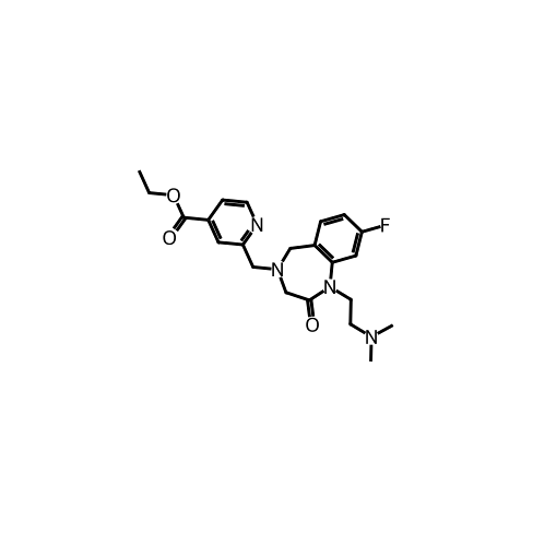 CCOC(=O)c1ccnc(CN2CC(=O)N(CCN(C)C)c3cc(F)ccc3C2)c1